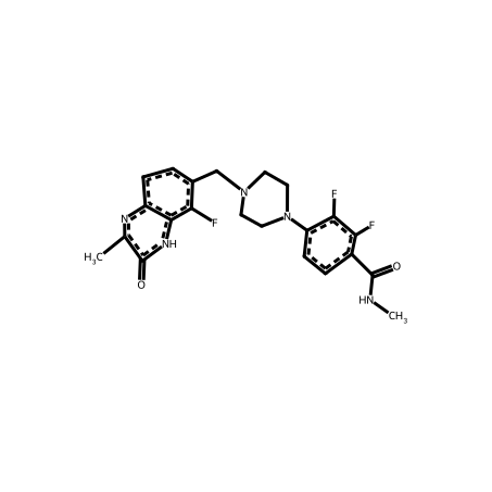 CNC(=O)c1ccc(N2CCN(Cc3ccc4nc(C)c(=O)[nH]c4c3F)CC2)c(F)c1F